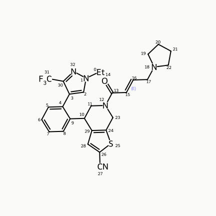 CCn1cc(-c2ccccc2C2CN(C(=O)/C=C/CN3CCCC3)Cc3sc(C#N)cc32)c(C(F)(F)F)n1